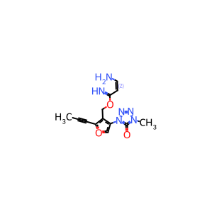 CC#Cc1occ(-n2nnn(C)c2=O)c1COC(=N)/C=C\N